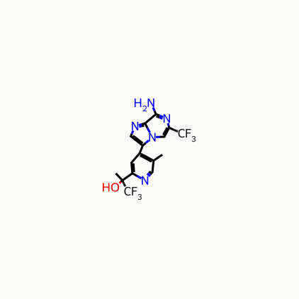 Cc1cnc(C(C)(O)C(F)(F)F)cc1-c1cnc2c(N)nc(C(F)(F)F)cn12